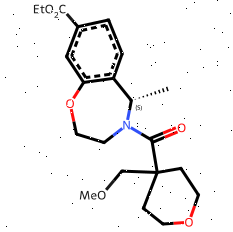 CCOC(=O)c1ccc2c(c1)OCCN(C(=O)C1(COC)CCOCC1)[C@H]2C